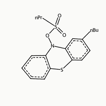 CCCCc1ccc2c(c1)N(OS(=O)(=O)CCC)c1ccccc1S2